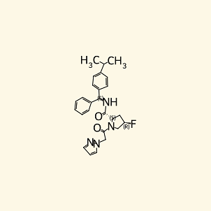 CC(C)c1ccc([C@@H](NC(=O)[C@@H]2C[C@@H](F)CN2C(=O)Cn2cccn2)c2ccccc2)cc1